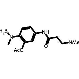 BN(C)c1ccc(NC(=O)CCNC)cc1OC(C)=O